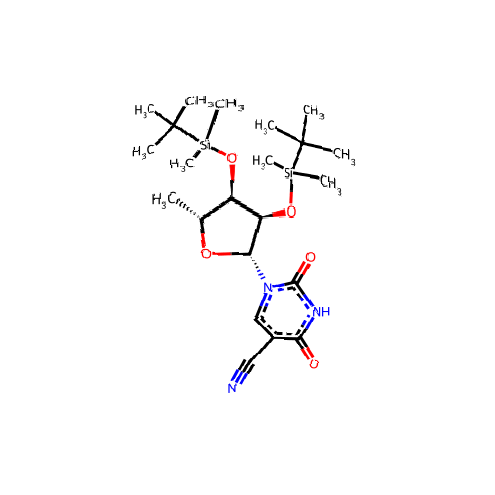 C[C@H]1O[C@@H](n2cc(C#N)c(=O)[nH]c2=O)[C@H](O[Si](C)(C)C(C)(C)C)[C@@H]1O[Si](C)(C)C(C)(C)C